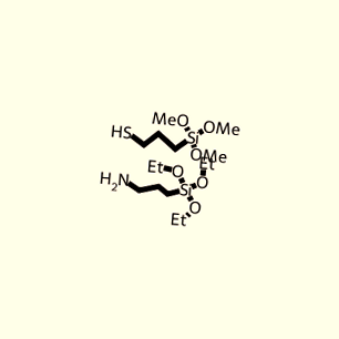 CCO[Si](CCCN)(OCC)OCC.CO[Si](CCCS)(OC)OC